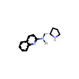 CCN(C[C@@H]1CCCN1)c1ccc2ccccc2n1